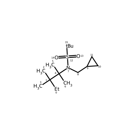 CCC(C)(C)C(C)(C)N(CC1CC1)S(=O)(=O)C(C)(C)C